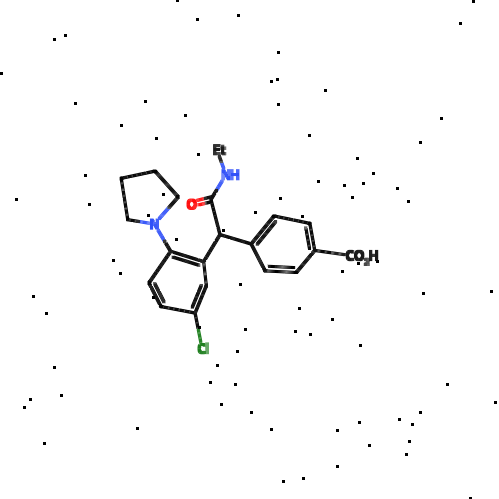 CCNC(=O)C(c1ccc(C(=O)O)cc1)c1cc(Cl)ccc1N1CCCC1